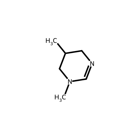 CC1CN=CN(C)C1